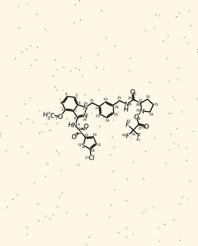 COc1cccc2c1c(NS(=O)(=O)c1ccc(Cl)s1)nn2Cc1cccc(CNC(=O)[C@H]2CCCN2OC(=O)C(F)(F)F)c1